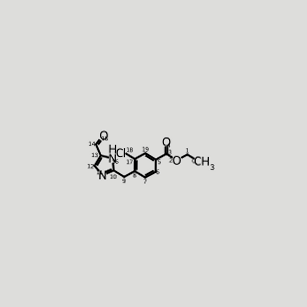 CCOC(=O)c1ccc(Cc2ncc(C=O)[nH]2)c(Cl)c1